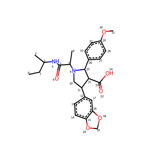 CCC(C)NC(=O)C(C)N1CC(c2ccc3c(c2)OCO3)C(C(=O)O)C1c1ccc(OC)cc1